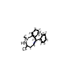 CN1NC(Cl)C/C=C(/c2ccccc2F)c2ccccc21